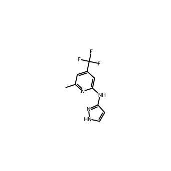 Cc1cc(C(F)(F)F)cc(Nc2cc[nH]n2)n1